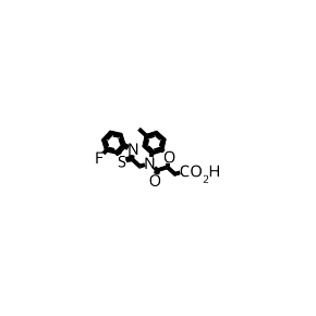 Cc1ccc2c(c1)N(Cc1nc3cccc(F)c3s1)C(=O)C(CC(=O)O)O2